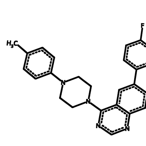 Cc1ccc(N2CCN(c3ncnc4ccc(-c5ccc(F)cc5)cc34)CC2)cc1